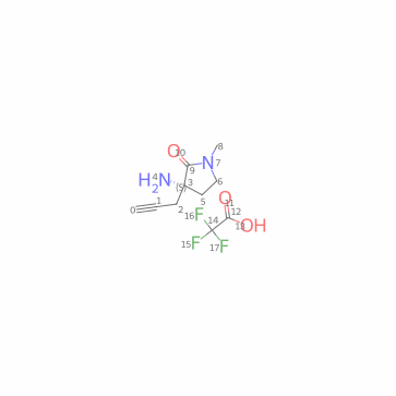 C#CC[C@]1(N)CCN(C)C1=O.O=C(O)C(F)(F)F